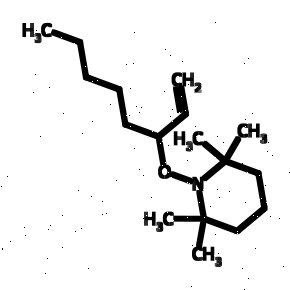 C=CC(CCCCC)ON1C(C)(C)CCCC1(C)C